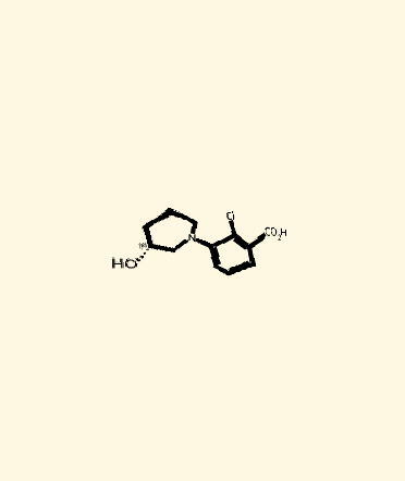 O=C(O)c1cccc(N2CCC[C@@H](O)C2)c1Cl